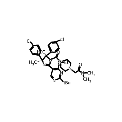 CCOc1nc(C(C)(C)C)ncc1C1=N[C@@](C)(c2ccc(Cl)cc2)[C@@](C)(c2ccc(Cl)cc2)N1C(=O)N1CCN(CC(=O)N(C)C)CC1